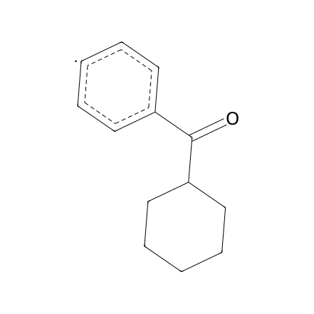 O=C(c1cc[c]cc1)C1CCCCC1